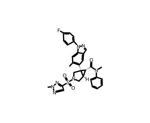 Cc1cc2c(cnn2-c2ccc(F)cc2)cc1[C@@]12CN(S(=O)(=O)c3cnn(C)n3)C[C@@H]1[C@H]2C(=O)N(C)c1ccccc1